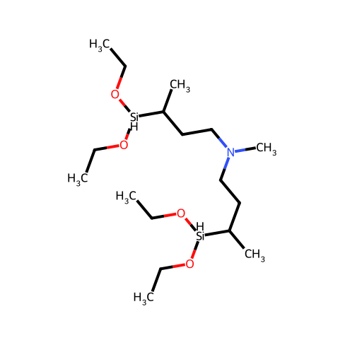 CCO[SiH](OCC)C(C)CCN(C)CCC(C)[SiH](OCC)OCC